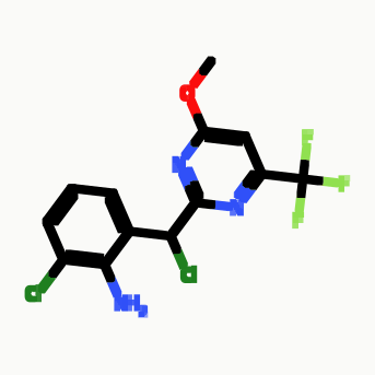 COc1cc(C(F)(F)F)nc(C(Cl)c2cccc(Cl)c2N)n1